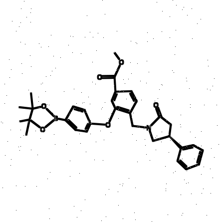 COC(=O)c1ccc(CN2C[C@H](c3ccccc3)CC2=O)c(Oc2ccc(B3OC(C)(C)C(C)(C)O3)cc2)c1